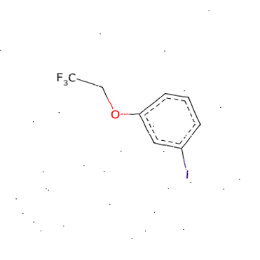 FC(F)(F)COc1cccc(I)c1